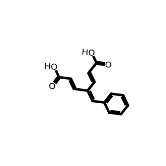 O=C(O)C=CC(C=CC(=O)O)=Cc1ccccc1